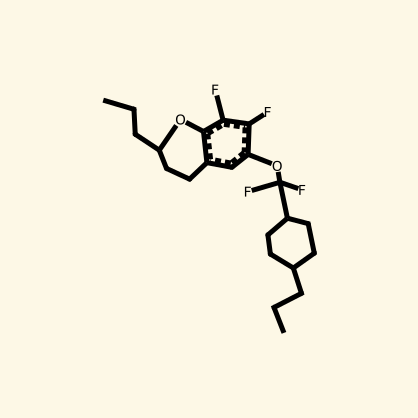 CCCC1CCC(C(F)(F)Oc2cc3c(c(F)c2F)OC(CCC)CC3)CC1